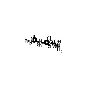 COc1cc(-c2noc(-c3cc(C)nc(N(C)C(C)C)c3)n2)cc(Cl)c1OC[C@@H](O)CN